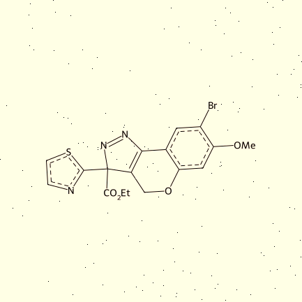 CCOC(=O)C1(c2nccs2)N=NC2=C1COc1cc(OC)c(Br)cc12